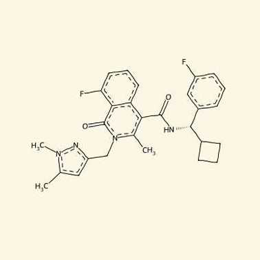 Cc1cc(Cn2c(C)c(C(=O)N[C@H](c3cccc(F)c3)C3CCC3)c3cccc(F)c3c2=O)nn1C